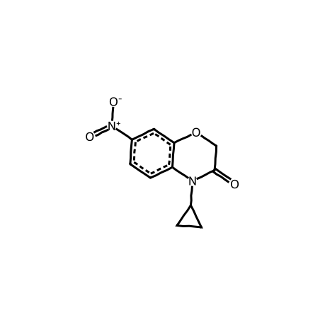 O=C1COc2cc([N+](=O)[O-])ccc2N1C1CC1